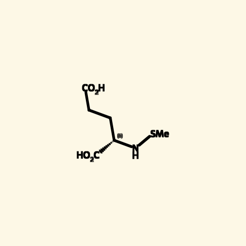 CSN[C@@H](CCC(=O)O)C(=O)O